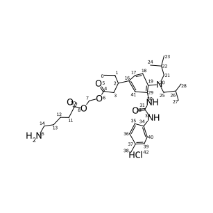 CCC(CC(=O)OCOC(=O)CCCCN)c1ccc(N(CC(C)C)CC(C)C)c(NC(=O)Nc2ccc(C)cc2)c1.Cl